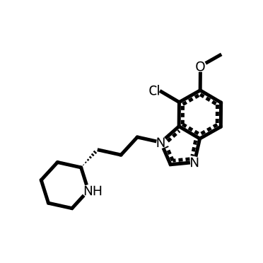 COc1ccc2ncn(CCC[C@H]3CCCCN3)c2c1Cl